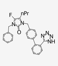 CCCc1c(F)n(Cc2ccccc2)c(=O)n1Cc1ccc(-c2ccccc2-c2nnn[nH]2)cc1